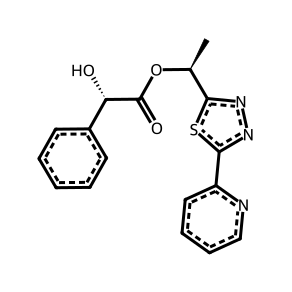 C[C@H](OC(=O)[C@@H](O)c1ccccc1)c1nnc(-c2ccccn2)s1